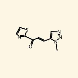 Cn1nncc1C=CC(=O)c1nccs1